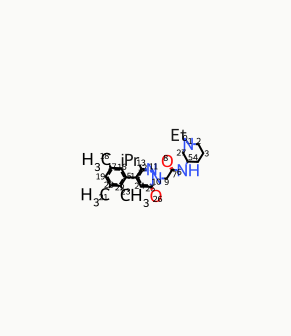 CCN1CCCC(NC(=O)Cn2nc(C(C)C)c(-c3cc(C)cc(C)c3C)cc2=O)C1